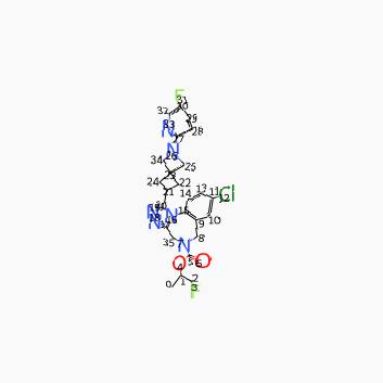 CC(CF)OC(=O)N1Cc2cc(Cl)ccc2-n2c(nnc2C2CC3(C2)CN(c2ccc(F)cn2)C3)C1